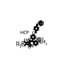 CCCCC1(CCCC)C([O-])Sc2ccc(N(C)C)c(O)c2[C@@H](c2ccc(OCc3ccc(C[N+]45CCN(CC4)CC5)cc3)cc2)C1O.Cl